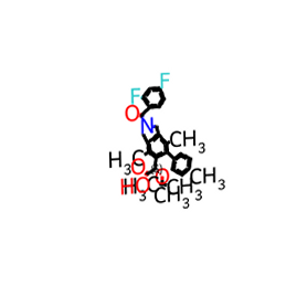 Cc1ccc(-c2c(C)c3c(c(C)c2[C@H](OC(C)(C)C)C(=O)O)CN(C(=O)c2ccc(F)cc2F)C3)cc1